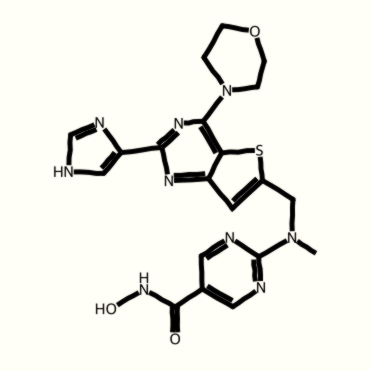 CN(Cc1cc2nc(-c3c[nH]cn3)nc(N3CCOCC3)c2s1)c1ncc(C(=O)NO)cn1